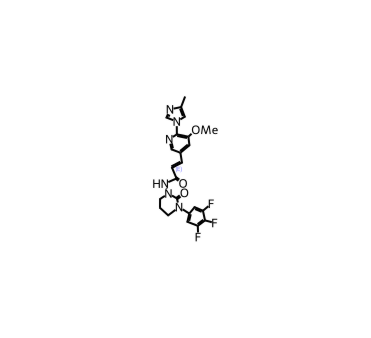 COc1cc(/C=C/C(=O)NN2CCCN(c3cc(F)c(F)c(F)c3)C2=O)cnc1-n1cnc(C)c1